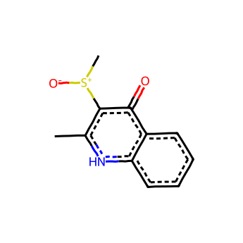 Cc1[nH]c2ccccc2c(=O)c1[S+](C)[O-]